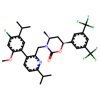 COc1cc(F)c(C(C)C)cc1-c1ccc(C(C)C)nc1CN1C(=O)O[C@H](c2cc(C(F)(F)F)cc(C(F)(F)F)c2)C[C@@H]1C